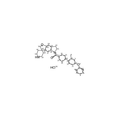 Cc1cc(Oc2ncccn2)ccc1-c1ccc(C(=O)N2CCc3cc4c(cc32)C2(CCNCC2)CO4)cc1.Cl